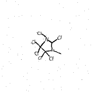 CN1C(Cl)N(Cl)C(Cl)(Cl)C1(Cl)Cl